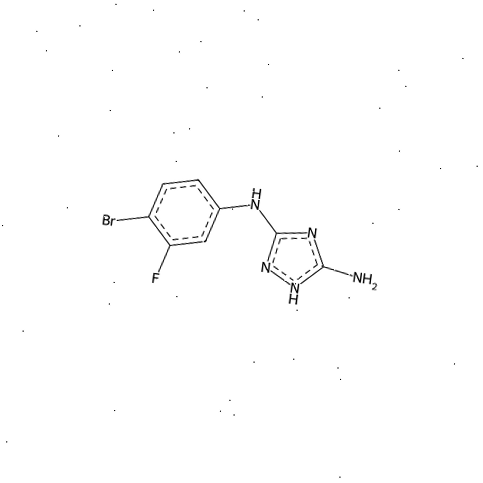 Nc1nc(Nc2ccc(Br)c(F)c2)n[nH]1